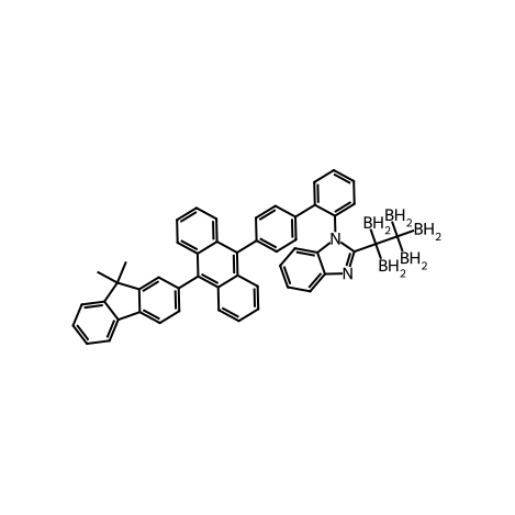 BC(B)(B)C(B)(B)c1nc2ccccc2n1-c1ccccc1-c1ccc(-c2c3ccccc3c(-c3ccc4c(c3)C(C)(C)c3ccccc3-4)c3ccccc23)cc1